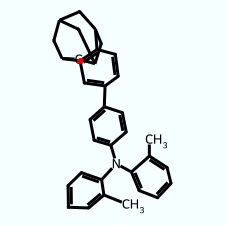 Cc1ccccc1N(c1ccc(-c2ccc3c(c2)C2CC4CC(CC3C4)C2)cc1)c1ccccc1C